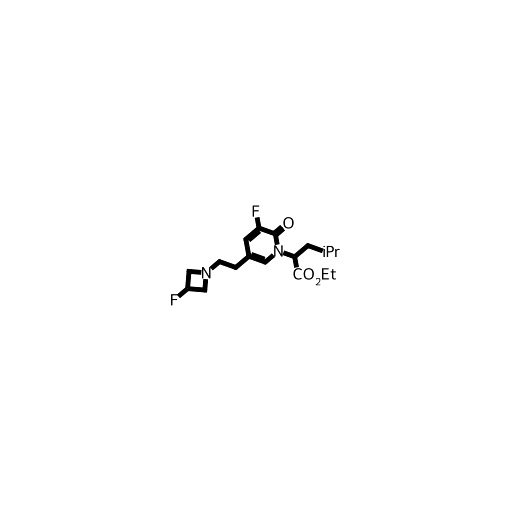 CCOC(=O)C(CC(C)C)n1cc(CCN2CC(F)C2)cc(F)c1=O